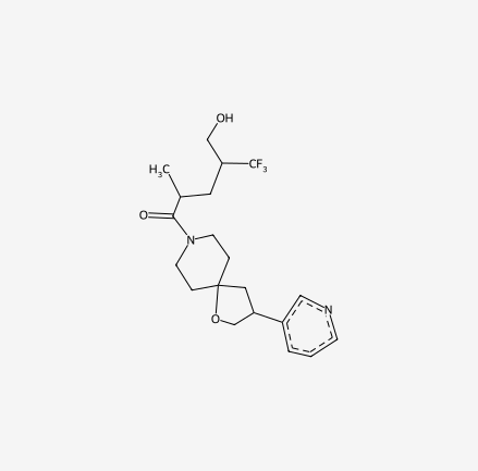 CC(CC(CO)C(F)(F)F)C(=O)N1CCC2(CC1)CC(c1cccnc1)CO2